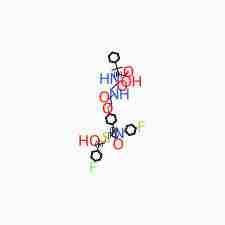 CC(C)(c1ccccc1)[C@@H](NC(=O)CNC(=O)COc1ccc([C@@H]2[C@@H](SC[C@@H](O)c3ccc(F)cc3)C(=O)N2c2ccc(F)cc2)cc1)C(=O)O